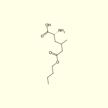 CCCCOC(=O)CC(C)C[C@@H](N)C(=O)O